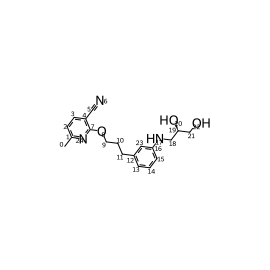 Cc1ccc(C#N)c(OCCCc2cccc(NC[C@@H](O)CO)c2)n1